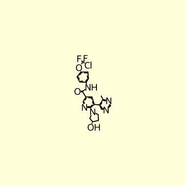 Cc1ncncc1-c1cc(C(=O)Nc2ccc(OC(F)(F)Cl)cc2)cnc1N1CC[C@@H](O)C1